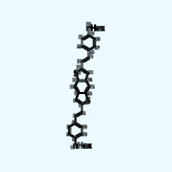 CCCCCCc1ccc(/C=C/c2cc3cc4sc(/C=C/c5ccc(CCCCCC)cc5)cc4cc3s2)cc1